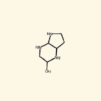 OC1CNC2NCCC2N1